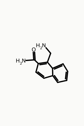 NCc1c(C(N)=O)ccc2ccccc12